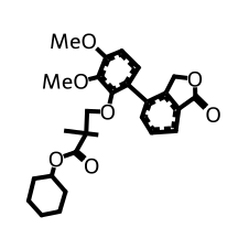 COc1ccc(-c2cccc3c2COC3=O)c(OCC(C)(C)C(=O)OC2CCCCC2)c1OC